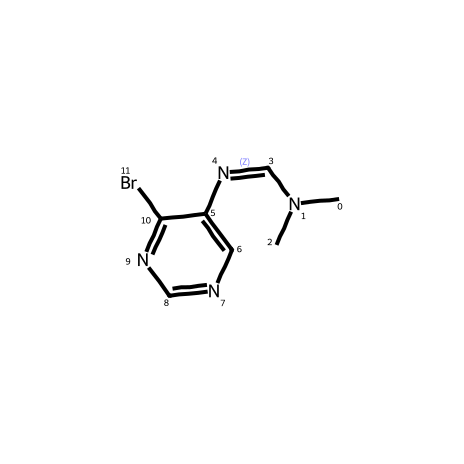 CN(C)/C=N\c1cncnc1Br